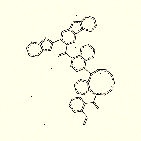 C=Cc1ccccc1C(=C)c1ccccccc(-c2ccc(C(=C)c3cc4c(cc3-c3cc5ccccc5o3)sc3ccccc34)c3ccccc23)c2ccccc12